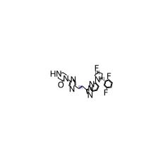 O=C1CNCCN1c1cnc(/C=C/c2cnc3ccc(N4C[C@@H](F)C[C@@H]4c4cc(F)ccc4F)nn23)cn1